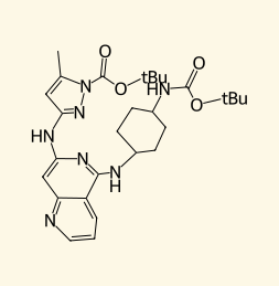 Cc1cc(Nc2cc3ncccc3c(NC3CCC(NC(=O)OC(C)(C)C)CC3)n2)nn1C(=O)OC(C)(C)C